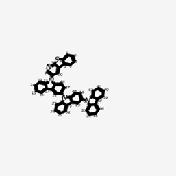 c1ccc2c(c1)sc1ncc(-n3c4ccccc4c4cc(-n5c6ccccc6c6cc(-n7c8ccccc8c8ccccc87)ccc65)ccc43)cc12